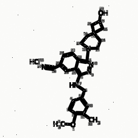 COc1ccc(CNc2nnc(N3CCC4(CC3)CC(O)C4)c3ccc(C#N)cc23)cc1C.Cl